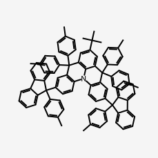 Cc1ccc(C2(c3ccc4c(c3)C(c3ccc(C)cc3)(c3ccc(C)cc3)c3cc(C(C)(C)C)cc5c3N4c3ccc(C4(c6ccc(C)cc6)c6ccccc6-c6ccccc64)cc3C5(c3ccc(C)cc3)c3ccc(C)cc3)c3ccccc3-c3ccccc32)cc1